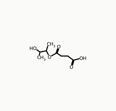 CC(O)C(C)OC(=O)CCC(=O)O